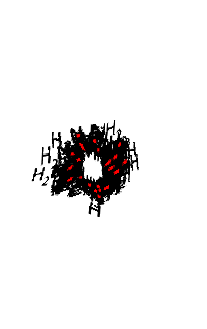 CSSC1NC(=O)[C@H](Cc2c[nH]c3ccccc23)NC(=O)[C@H](CCCCN)NC(=O)[C@H](CCCCN)NC(=O)[C@H](CCCCN)NC(=O)[C@H](CCCCN)NC(=O)[C@H](C)NC(=O)[C@H](Cc2c[nH]c3ccccc23)NC(=O)[C@H](Cc2c[nH]cn2)NC(=O)[C@@H](Cc2ccccc2)NC(=O)[C@H](Cc2c[nH]cn2)N[C@@H]2CCCN2C1=O